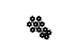 c1ccc(N(c2ccccc2)c2cc3c4c(c2)N(c2ccccc2)c2ccc(N5c6ccccc6[Si](c6ccccc6)(c6ccccc6)c6ccccc65)cc2B4c2ccccc2N3c2ccccc2)cc1